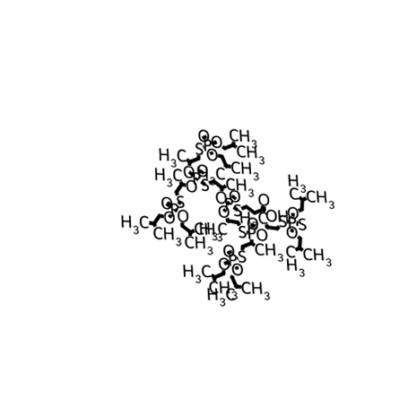 CC(C)COP(=O)(OCC(C)C)SCC(C)OP(=O)(OC(C)CSP(=O)(OCC(C)C)OCC(C)C)SCC(C)OP(=O)(OC(C)CSP(=O)(OC(C)CSP(=S)(OCC(C)C)OCC(C)C)C(C)CSP(=O)(OCC(C)C)OCC(C)C)SCCC(=O)O